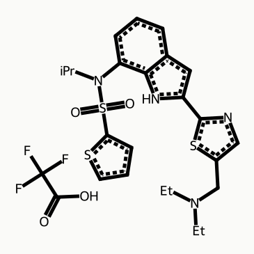 CCN(CC)Cc1cnc(-c2cc3cccc(N(C(C)C)S(=O)(=O)c4cccs4)c3[nH]2)s1.O=C(O)C(F)(F)F